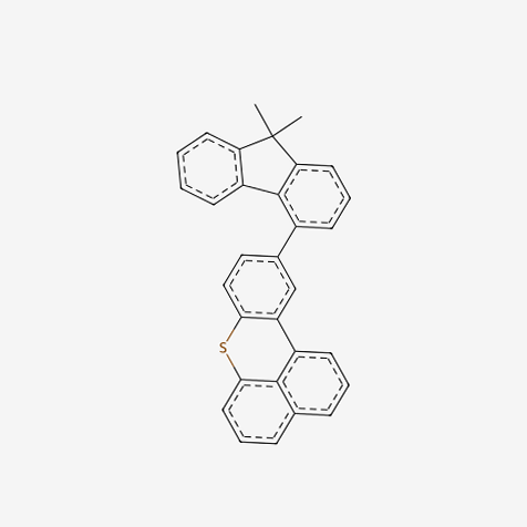 CC1(C)c2ccccc2-c2c(-c3ccc4c(c3)-c3cccc5cccc(c35)S4)cccc21